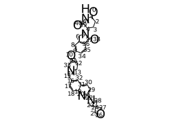 O=C1CCC(N2Cc3cc(O[C@H]4CCN(Cc5ccc6nc(N7CC8(COC8)C7)ccc6c5)C4)ccc3C2=O)C(=O)N1